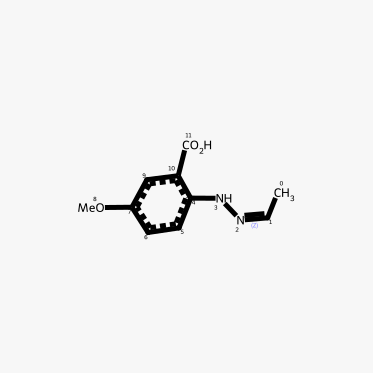 C/C=N\Nc1ccc(OC)cc1C(=O)O